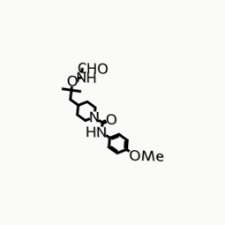 COc1ccc(NC(=O)N2CCC(CC(C)(C)ONC=O)CC2)cc1